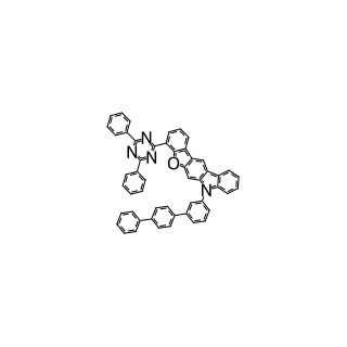 c1ccc(-c2ccc(-c3cccc(-n4c5ccccc5c5cc6c(cc54)oc4c(-c5nc(-c7ccccc7)nc(-c7ccccc7)n5)cccc46)c3)cc2)cc1